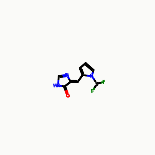 O=C1NC=NC1=Cc1cccn1B(F)F